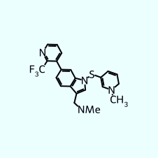 CNCc1cn(SC2=CN(C)CC=C2)c2cc(-c3cccnc3C(F)(F)F)ccc12